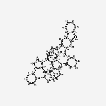 c1ccc(-c2nnc(-c3cccc4c3c3ccccc3n4-c3ccccc3-n3c4ccccc4c4cc5c(cc43)oc3ccccc35)n2-c2ccccc2)cc1